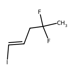 CC(F)(F)C/C=C/I